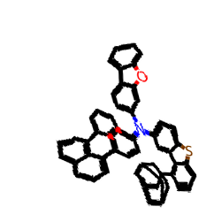 c1ccc(-c2cccc3cccc(-c4ccc(N(c5ccc6c(c5)oc5ccccc56)c5ccc6sc7cccc(C89CC%10CC(CC(C%10)C8)C9)c7c6c5)cc4)c23)cc1